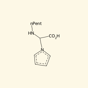 CCCCCNC(C(=O)O)n1cccc1